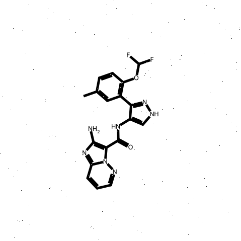 Cc1ccc(OC(F)F)c(-c2n[nH]cc2NC(=O)c2c(N)nc3cccnn23)c1